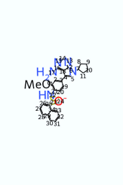 COc1cc(-c2cn(C3CCCC3)c3ncnc(N)c23)ccc1N[S+]([O-])c1cccc2ccccc12